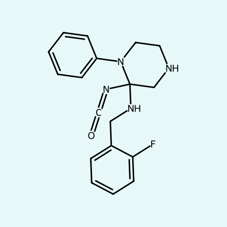 O=C=NC1(NCc2ccccc2F)CNCCN1c1ccccc1